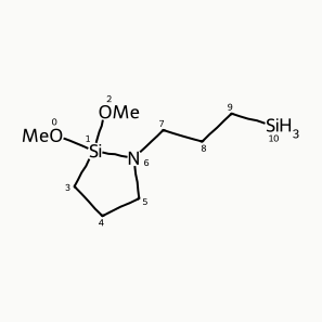 CO[Si]1(OC)CCCN1CCC[SiH3]